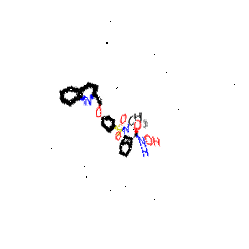 CN([C@H]1C2CCC(C2)[C@H]1C(=O)NO)S(=O)(=O)c1ccc(OCc2ccc3ccccc3n2)cc1